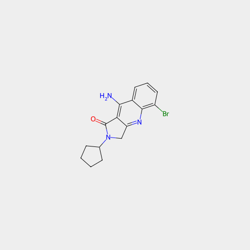 Nc1c2c(nc3c(Br)cccc13)CN(C1CCCC1)C2=O